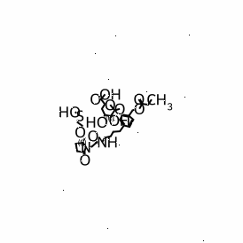 CCC(=O)OCc1ccc(CCCCNC(=O)CN2C(=O)CC[C@H]2COCCSO)cc1OC1OC(C(=O)O)CC(O)[C@H]1O